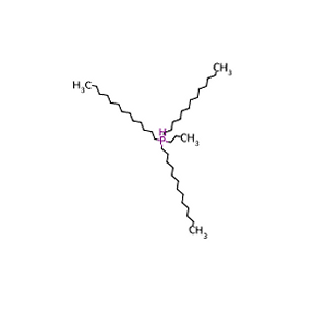 CCCCCCCCCCCCC[PH](CCC)(CCCCCCCCCCCCC)CCCCCCCCCCCCC